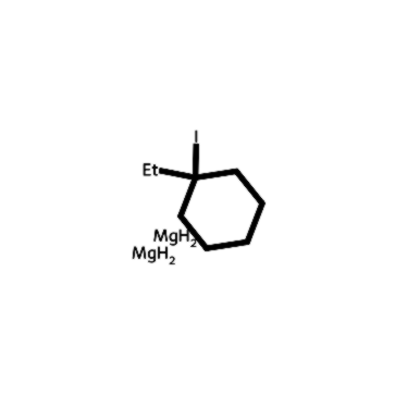 CCC1(I)CCCCC1.[MgH2].[MgH2]